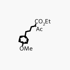 CCOC(=O)C(CCCc1ccc(OC)cc1)C(C)=O